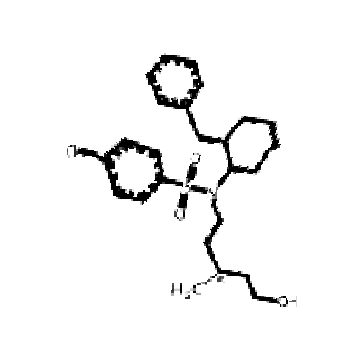 C[C@@H](CCO)CCN(C1CCCCC1Cc1ccccc1)S(=O)(=O)c1ccc(Cl)cc1